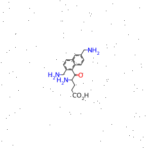 NCc1ccc2c(C(=O)C(N)CCC(=O)O)c(CN)ccc2c1